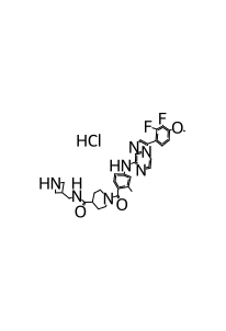 COc1ccc(-c2cnc3c(Nc4ccc(C(=O)N5CCC(C(=O)NCC6CNC6)CC5)c(C)c4)nccn23)c(F)c1F.Cl